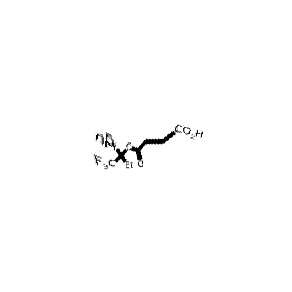 CCCC(CC)(OC(=O)CCC(=O)O)C(F)(F)F